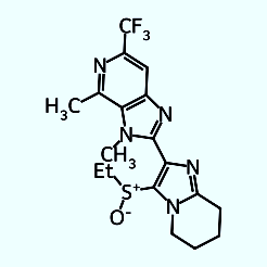 CC[S+]([O-])c1c(-c2nc3cc(C(F)(F)F)nc(C)c3n2C)nc2n1CCCC2